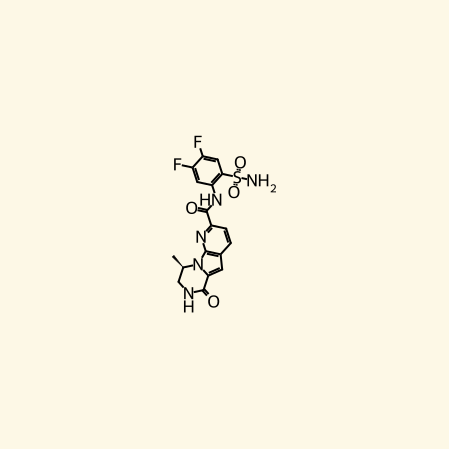 C[C@@H]1CNC(=O)c2cc3ccc(C(=O)Nc4cc(F)c(F)cc4S(N)(=O)=O)nc3n21